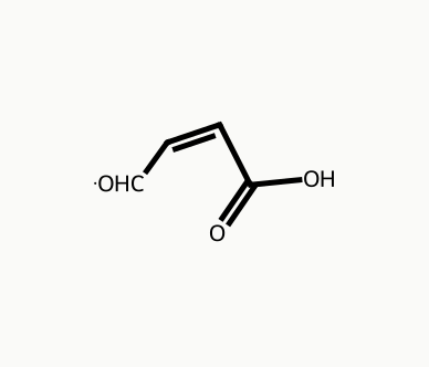 O=[C]/C=C\C(=O)O